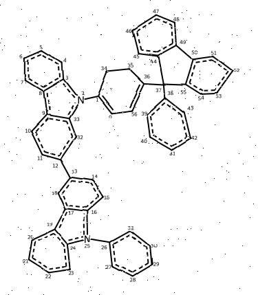 C1=C(n2c3ccccc3c3ccc(-c4ccc5c(c4)c4ccccc4n5-c4ccccc4)cc32)CCC(C2(c3ccccc3)c3ccccc3-c3ccccc32)=C1